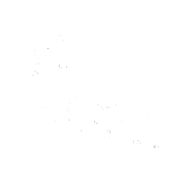 CCC(C)NC(=O)c1ccn(Cc2ccc(-c3noc(C(F)(F)F)n3)s2)n1